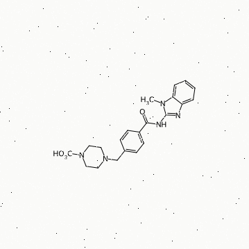 Cn1c(NC(=O)c2ccc(CN3CCN(C(=O)O)CC3)cc2)nc2ccccc21